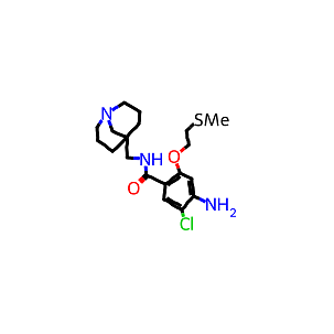 CSCCOc1cc(N)c(Cl)cc1C(=O)NCC12CCCN(CCC1)C2